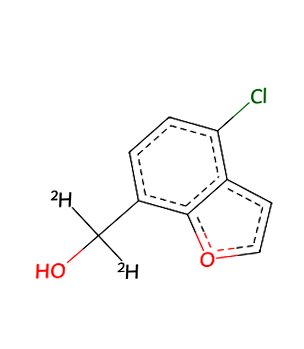 [2H]C([2H])(O)c1ccc(Cl)c2ccoc12